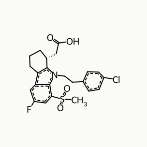 CS(=O)(=O)c1cc(F)cc2c3c(n(CCc4ccc(Cl)cc4)c12)[C@@H](CC(=O)O)CCC3